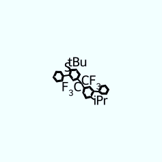 CC(C)c1ccc(C(c2ccc(SC(C)(C)C)c(-c3ccccc3)c2)(C(F)(F)F)C(F)(F)F)cc1-c1ccccc1